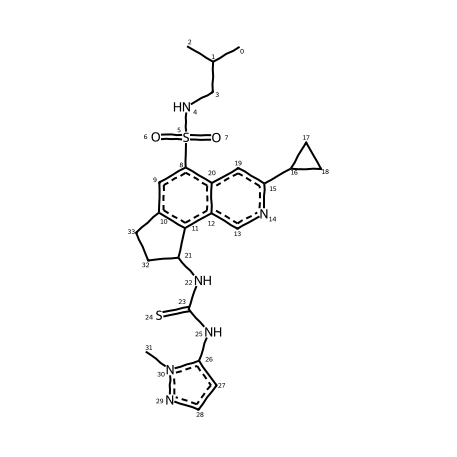 CC(C)CNS(=O)(=O)c1cc2c(c3cnc(C4CC4)cc13)C(NC(=S)Nc1ccnn1C)CC2